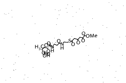 COC(=O)C(=O)CC(=O)CC(=O)SCCNC(=O)CCNC(=O)[C@@H]1OP(=O)(O)OCC1(C)C